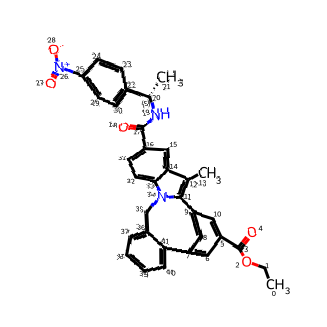 CCOC(=O)c1cc2cc(c1)-c1c(C)c3cc(C(=O)N[C@@H](C)c4ccc([N+](=O)[O-])cc4)ccc3n1Cc1ccccc1-2